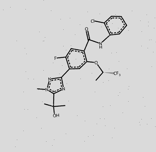 C[C@H](Oc1cc(-c2nc(C(C)(C)O)n(C)n2)c(F)cc1C(=O)Nc1ccccc1Cl)C(F)(F)F